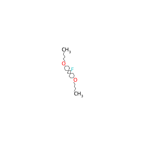 CCCCCCOC1CC[C@]2(CC1)C[C@@]1(CCC(OCCCCCC)CC1)C2F